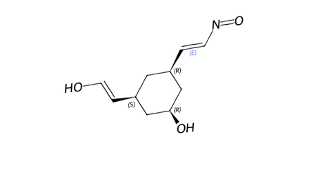 O=N/C=C/[C@H]1C[C@@H](O)C[C@@H](C=CO)C1